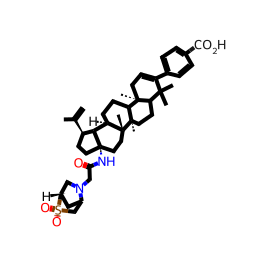 C=C(C)[C@@H]1CC[C@]2(NC(=O)CN3C[C@@H]4CC3CS4(=O)=O)CC[C@]3(C)[C@H](CCC4[C@@]5(C)CC=C(c6ccc(C(=O)O)cc6)C(C)(C)C5CC[C@]43C)C12